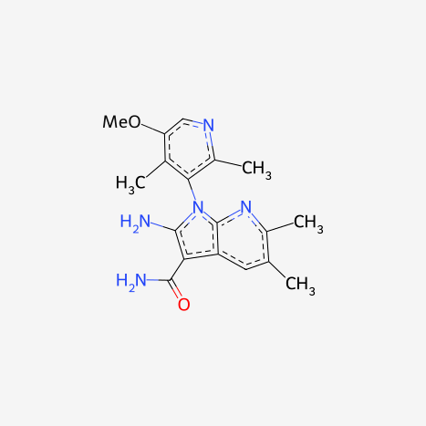 COc1cnc(C)c(-n2c(N)c(C(N)=O)c3cc(C)c(C)nc32)c1C